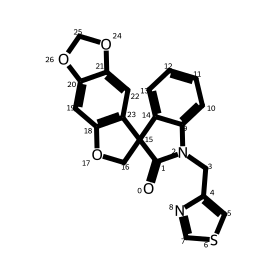 O=C1N(Cc2cscn2)c2ccccc2C12COc1cc3c(cc12)OCO3